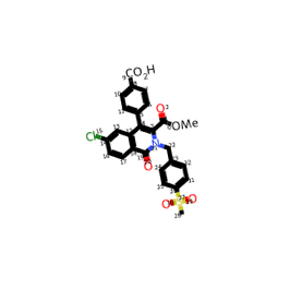 COC(=O)c1c(-c2ccc(C(=O)O)cc2)c2cc(Cl)ccc2c(=O)n1Cc1ccc(S(C)(=O)=O)cc1